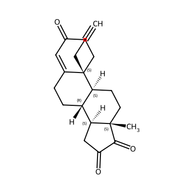 C#CC[C@]12CCC(=O)C=C1CC[C@@H]1[C@@H]2CC[C@]2(C)C(=O)C(=O)C[C@@H]12